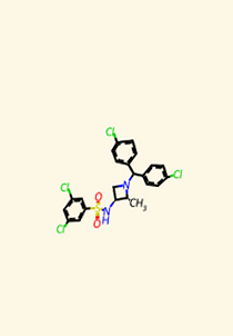 C[C@@H]1[C@@H](NS(=O)(=O)c2cc(Cl)cc(Cl)c2)CN1C(c1ccc(Cl)cc1)c1ccc(Cl)cc1